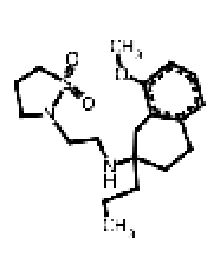 CCCC1(NCCN2CCCS2(=O)=O)CCc2cccc(OC)c2C1